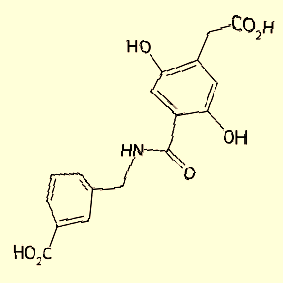 O=C(O)Cc1cc(O)c(C(=O)NCc2cccc(C(=O)O)c2)cc1O